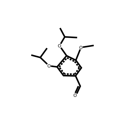 COc1cc(C=O)cc(OC(C)C)c1OC(C)C